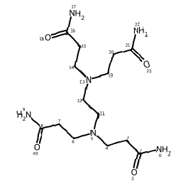 NC(=O)CCN(CCC(N)=O)CCN(CCC(N)=O)CCC(N)=O